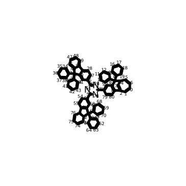 C1=CC2=CC(C=C1)C(c1ccccc1)(c1ccccc1)c1cc(-c3nc(-c4ccc5c(c4)C(c4ccccc4)(c4ccccc4)c4ccccc4-5)nc(-c4ccc5c(c4)C(c4ccccc4)(c4ccccc4)C4C=CC=CC54)n3)ccc12